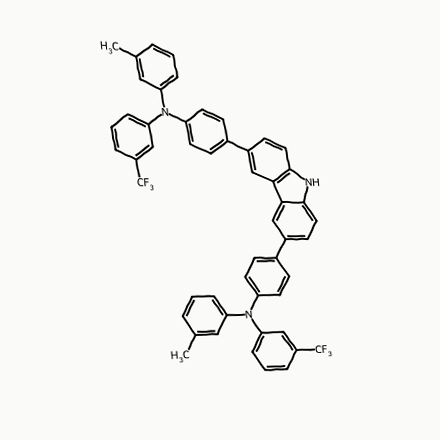 Cc1cccc(N(c2ccc(-c3ccc4[nH]c5ccc(-c6ccc(N(c7cccc(C)c7)c7cccc(C(F)(F)F)c7)cc6)cc5c4c3)cc2)c2cccc(C(F)(F)F)c2)c1